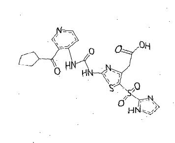 O=C(O)Cc1nc(NC(=O)Nc2ccncc2C(=O)C2CCCC2)sc1S(=O)(=O)c1ncc[nH]1